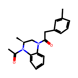 CC(=O)N1c2ccccc2N(C(=O)Cc2cccc(C)c2)C[C@@H]1C